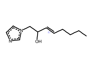 CCCC/C=C/C(O)Cn1ccnc1